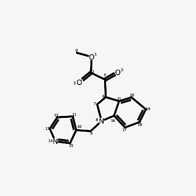 COC(=O)C(=O)C1CN(Cc2cccnc2)c2ccccc21